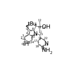 CC(C)C1(C)C=c2c(SC(C)(C)C)c(CC(C)(C)O)n(Cc3ccc(N)nc3)c2=CC1